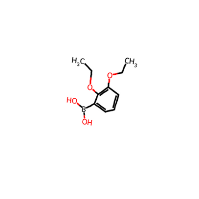 CCOc1cccc(B(O)O)c1OCC